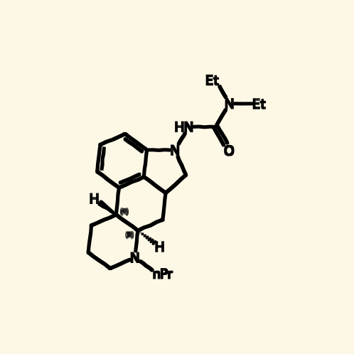 CCCN1CCC[C@@H]2c3cccc4c3C(C[C@H]21)CN4NC(=O)N(CC)CC